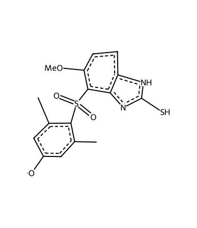 COc1ccc2[nH]c(S)nc2c1S(=O)(=O)c1c(C)cc([O])cc1C